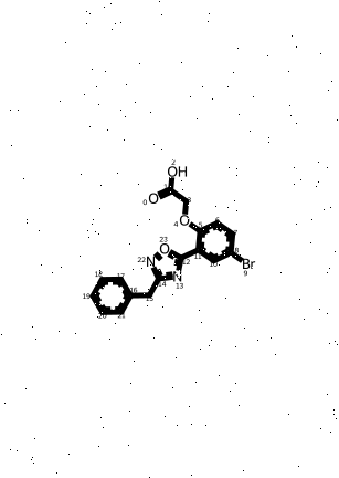 O=C(O)COc1ccc(Br)cc1-c1nc(Cc2ccccc2)no1